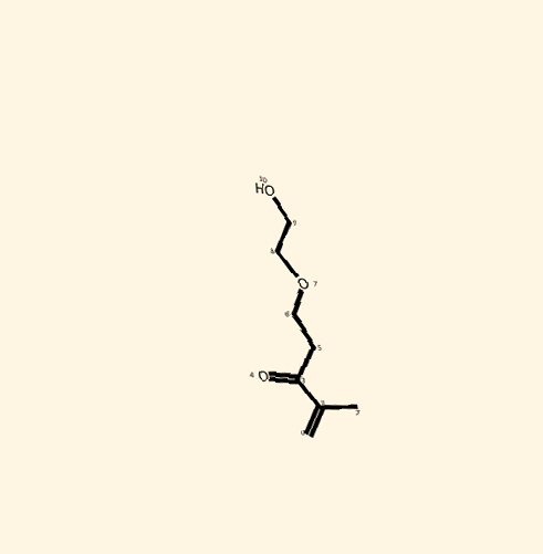 C=C(C)C(=O)CCOCCO